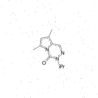 Cc1cc(C)n2c(=O)n(C(C)C)ncc12